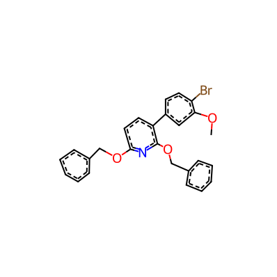 COc1cc(-c2ccc(OCc3ccccc3)nc2OCc2ccccc2)ccc1Br